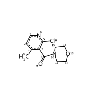 Cc1ccnc(Cl)c1C(=O)N1CCOCC1